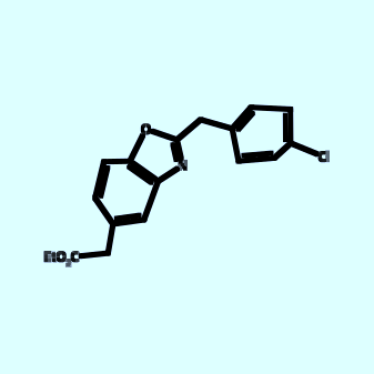 CCOC(=O)Cc1ccc2oc(Cc3ccc(Cl)cc3)nc2c1